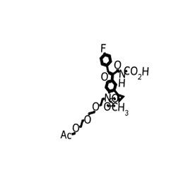 CC(=O)COCCOCCOCCN(c1cc2oc(-c3ccc(F)cc3)c(C(=O)NC(=O)O)c2cc1C1CC1)S(C)(=O)=O